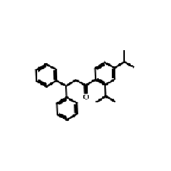 CC(C)c1[c]c(C(C)C)c(C(=O)CC(c2ccccc2)c2ccccc2)cc1